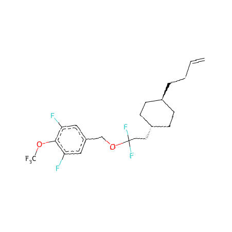 C=CCC[C@H]1CC[C@H](CC(F)(F)OCc2cc(F)c(OC(F)(F)F)c(F)c2)CC1